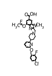 C[C@H](F)Oc1cc(C(=O)O)cc2c1nc(CN1CCC(c3cccc(OCc4ccc(Cl)cc4F)n3)CC1)n2C